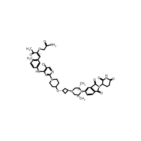 CC(=O)/C(=C\c1cc(Nc2nc(N3CCC(O[C@H]4C[C@H](N5C[C@@H](C)N(c6ccc7c(c6)C(=O)N(C6CCC(=O)NC6=O)C7=O)[C@@H](C)C5)C4)CC3)ncc2Cl)ccc1C)OCC(N)=O